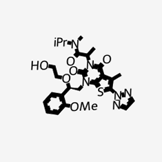 COc1ccccc1[C@H](Cn1c(=O)n(C(C)C(=O)N(C)C(C)C)c(=O)c2c(C)c(-n3nccn3)sc21)OCCO